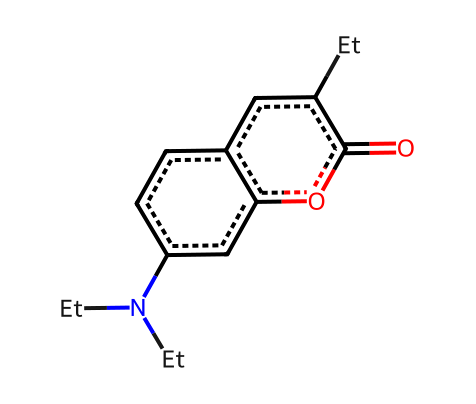 CCc1cc2ccc(N(CC)CC)cc2oc1=O